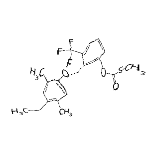 CCc1cc(C)c(OCc2c(OC(=O)SC)cccc2C(F)(F)F)cc1C